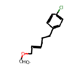 O=[C]OCC=CCCc1ccc(Cl)cc1